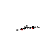 CCCCCOc1ccc(OCCCOC(=O)[C@H]2CC[C@H]([C@H]3CC[C@H](CCC)CC3)CC2)cc1